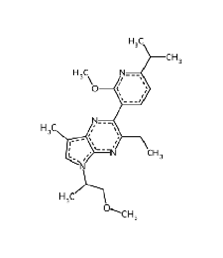 CCc1nc2c(nc1-c1ccc(C(C)C)nc1OC)c(C)cn2C(C)COC